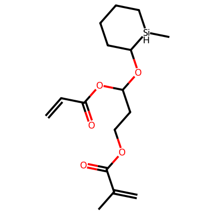 C=CC(=O)OC(CCOC(=O)C(=C)C)OC1CCCC[SiH]1C